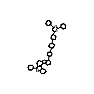 c1ccc(-c2cc(-c3ccc(-c4ccc(-c5ccc(-c6cccc7c6sc6ccc8c(-c9ccccc9)nc9ccccc9c8c67)cc5)cc4)cc3)nc(-c3ccccc3)n2)cc1